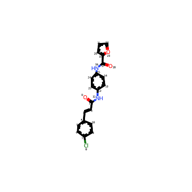 O=C(/C=C/c1ccc(Cl)cc1)Nc1ccc(NC(=O)c2ccco2)cc1